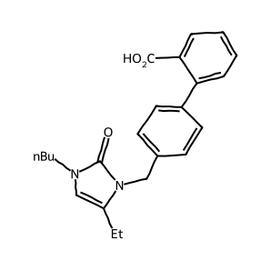 CCCCn1cc(CC)n(Cc2ccc(-c3ccccc3C(=O)O)cc2)c1=O